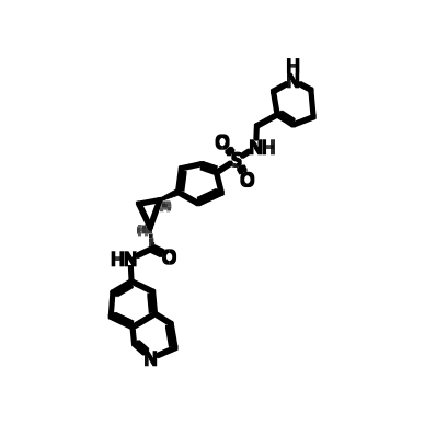 O=C(Nc1ccc2cnccc2c1)[C@@H]1C[C@H]1c1ccc(S(=O)(=O)NCC2=CCCNC2)cc1